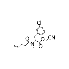 C=CCCC(=O)N(C)C(Cc1cccc(Cl)c1)C(=O)OCC#N